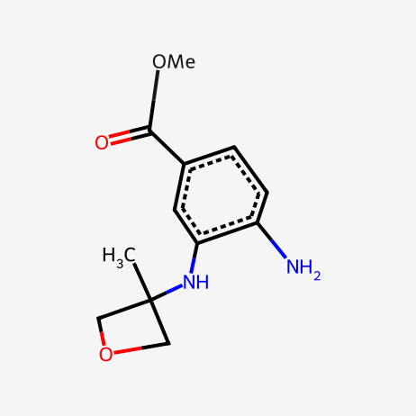 COC(=O)c1ccc(N)c(NC2(C)COC2)c1